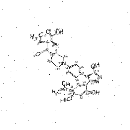 CC[C@@H](C(=N)C(=O)O)C(=O)N1CCN(c2ccc(-n3c(O)nnc3-c3cc(C(C)C)c(O)cc3O)cc2)CC1